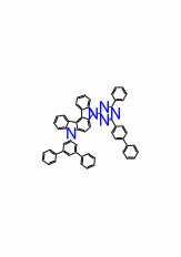 c1ccc(-c2ccc(-c3nc(-c4ccccc4)nc(-n4c5ccccc5c5c6c7ccccc7n(-c7cc(-c8ccccc8)cc(-c8ccccc8)c7)c6ccc54)n3)cc2)cc1